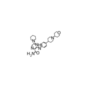 NC(=O)c1ncc(N2CCCCC2)nc1Nc1ccc(C2CCN(C3CCOCC3)CC2)cc1